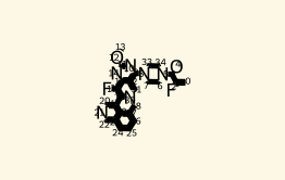 C=C(F)C(=O)N1CCN(c2nc(OC)nc3c(F)c(-c4cncc5cccc(C)c45)ncc23)CC1